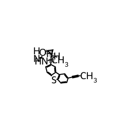 CC#Cc1ccc2sc3ccc([C@@]4(C)NC(=N)O[C@H]5C[C@H]54)cc3c2c1